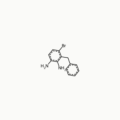 Nc1ccc(Br)c(Cc2ccccc2)c1N